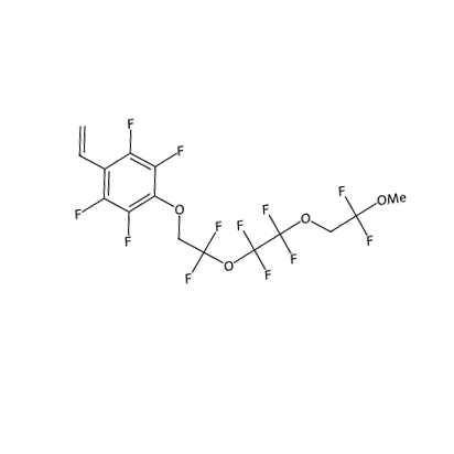 C=Cc1c(F)c(F)c(OCC(F)(F)OC(F)(F)C(F)(F)OCC(F)(F)OC)c(F)c1F